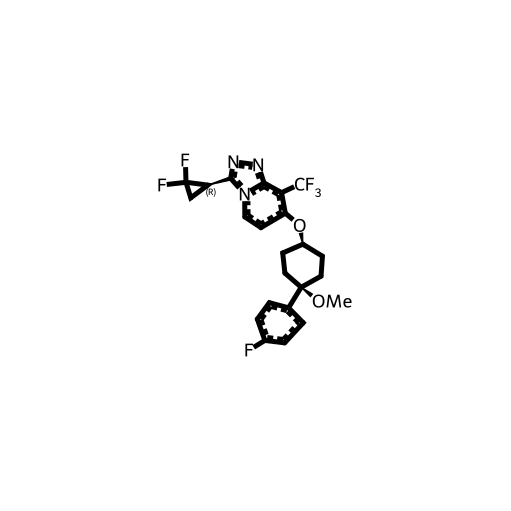 CO[C@]1(c2ccc(F)cc2)CC[C@H](Oc2ccn3c([C@H]4CC4(F)F)nnc3c2C(F)(F)F)CC1